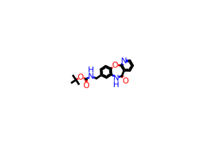 CC(C)(C)OC(=O)NCc1ccc2c(c1)NC(=O)c1cccnc1O2